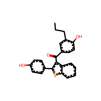 CCCc1cc(C(=O)c2c(-c3ccc(O)cc3)sc3ccccc23)ccc1O